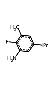 Cc1cc(C(C)C)cc(N)c1F